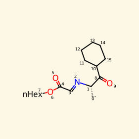 [CH2][C@H](N=CC(=O)OCCCCCC)C(=O)C1CCCCC1